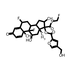 CC1CC2C3CC(F)C4=CC(=O)C=CC4(C)C3(F)C(O)CC2(C)C1(OC(=O)c1cc(CO)co1)C(=O)SCF